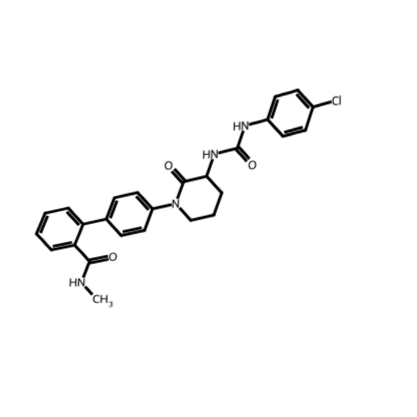 CNC(=O)c1ccccc1-c1ccc(N2CCCC(NC(=O)Nc3ccc(Cl)cc3)C2=O)cc1